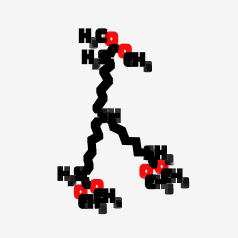 COC(OC)[SiH2]CCCCCC[SiH](CCCCCC[SiH2]C(OC)OC)CCCCCC[SiH2]C(OC)OC